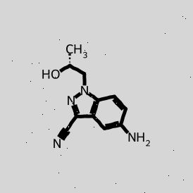 C[C@@H](O)Cn1nc(C#N)c2cc(N)ccc21